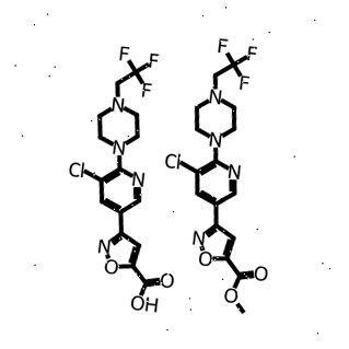 COC(=O)c1cc(-c2cnc(N3CCN(CC(F)(F)F)CC3)c(Cl)c2)no1.O=C(O)c1cc(-c2cnc(N3CCN(CC(F)(F)F)CC3)c(Cl)c2)no1